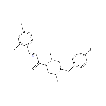 Cc1ccc(/C=C/C(=O)N2CC(C)N(Cc3ccc(F)cc3)CC2C)c(C)c1